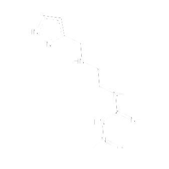 N=C(NCCNCc1cc[nH]n1)N[N+](=O)[O-]